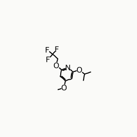 COc1cc(OCC(F)(F)F)nc(OC(C)C)c1